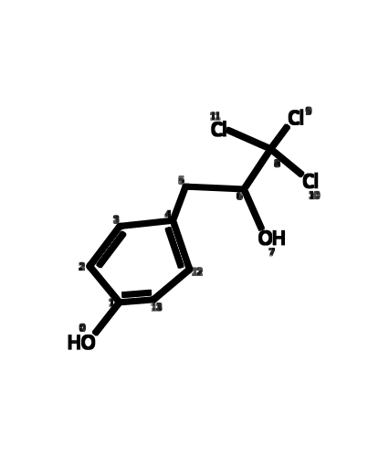 Oc1ccc(CC(O)C(Cl)(Cl)Cl)cc1